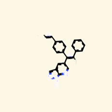 CC/C(=C(/c1ccc(/C=C/C(=O)O)cc1)c1cnc2[nH]ncc2c1)c1ccccc1